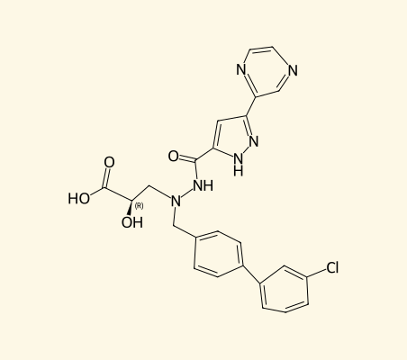 O=C(NN(Cc1ccc(-c2cccc(Cl)c2)cc1)C[C@@H](O)C(=O)O)c1cc(-c2cnccn2)n[nH]1